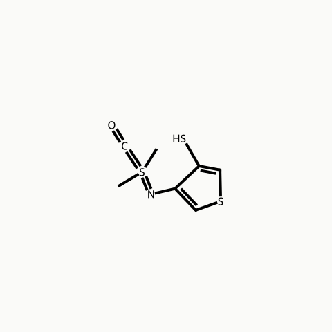 CS(C)(=C=O)=Nc1cscc1S